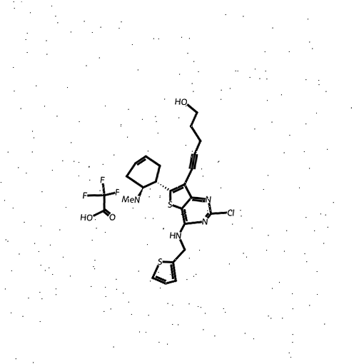 CN[C@H]1CC=CC[C@@H]1c1sc2c(NCc3cccs3)nc(Cl)nc2c1C#CCCCO.O=C(O)C(F)(F)F